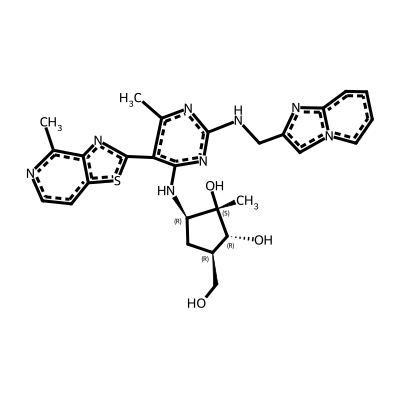 Cc1nc(NCc2cn3ccccc3n2)nc(N[C@@H]2C[C@H](CO)[C@@H](O)[C@@]2(C)O)c1-c1nc2c(C)nccc2s1